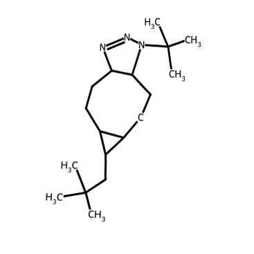 CC(C)(C)CC1C2CCC3N=NN(C(C)(C)C)C3CCC21